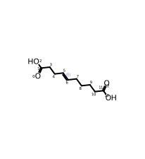 O=C(O)CC/C=C/CCCCC(=O)O